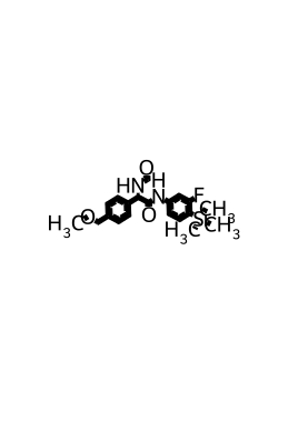 COCc1ccc([C@@H](NC=O)C(=O)Nc2ccc([Si](C)(C)C)c(F)c2)cc1